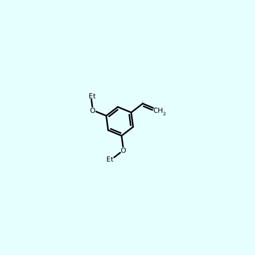 C=[C]c1cc(OCC)cc(OCC)c1